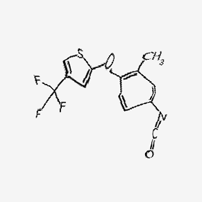 Cc1cc(N=C=O)ccc1Oc1cc(C(F)(F)F)cs1